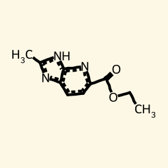 CCOC(=O)c1ccc2nc(C)[nH]c2n1